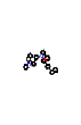 C1=CCC(c2ccccc2N(c2ccc(-c3ccc(-c4cccc5ccccc45)cc3)cc2)c2cccc(-c3cccc4c3c3c5ccccc5ccc3n4-c3ccccc3)c2)C=C1